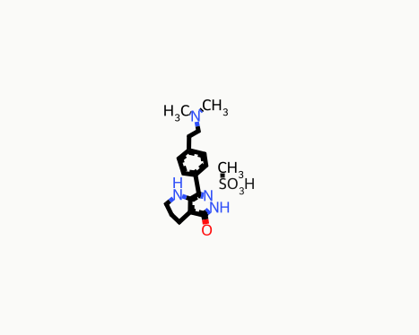 CN(C)CCc1ccc(-c2n[nH]c(=O)c3c2NCCC3)cc1.CS(=O)(=O)O